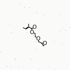 CC=C(C)C(=O)OCCOCC1CO1